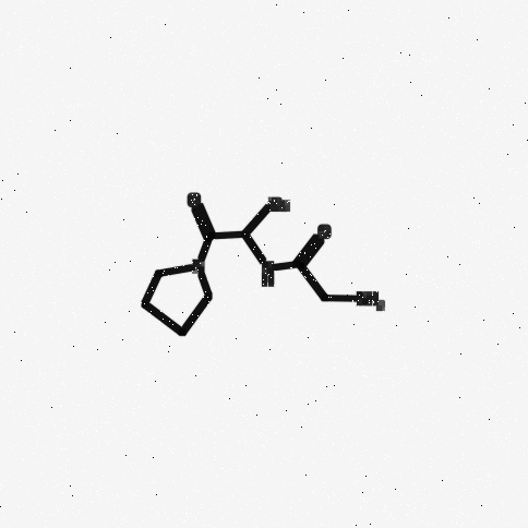 CCC(C)C(NC(=O)CN)C(=O)N1CCCC1